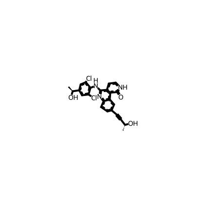 C[C@H](O)c1cc(Cl)c(Nc2nc3ccc(C#C[C@@H](C)O)cc3c3c(=O)[nH]ccc23)c(Cl)c1